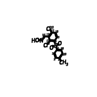 Cc1ccc(S(=O)(=O)c2ccc(Cl)c(C=NO)c2Cl)cc1